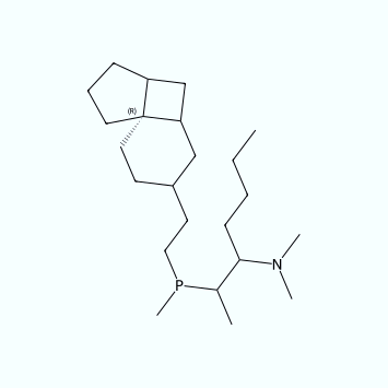 CCCCC(C(C)P(C)CCC1CC[C@]23CCCC2CC3C1)N(C)C